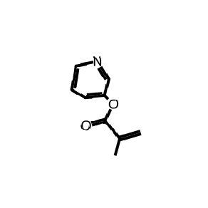 C=C(C)C(=O)Oc1cccnc1